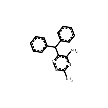 Nc1nnc(C(c2ccccc2)c2ccccc2)c(N)n1